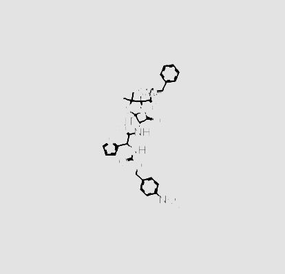 CS[C@@]1(C(=O)OCc2ccccc2)N2C(=O)[C@@H](NC(=O)C(NC(=O)OCc3ccc([N+](=O)[O-])cc3)c3cccs3)[C@H]2SC1(C)C